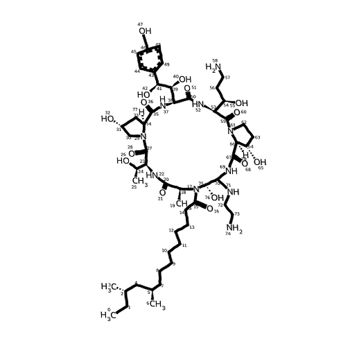 CC[C@H](C)C[C@H](C)CCCCCCCCC(=O)N1[C@@H](C)C(=O)N[C@@H]([C@@H](C)O)C(=O)N2C[C@H](O)C[C@H]2C(=O)N[C@@H]([C@H](O)[C@@H](O)c2ccc(O)cc2)C(=O)N[C@@H]([C@H](O)CCN)C(=O)N2CC[C@H](O)[C@H]2C(=O)NC(NCCN)[C@@H]1O